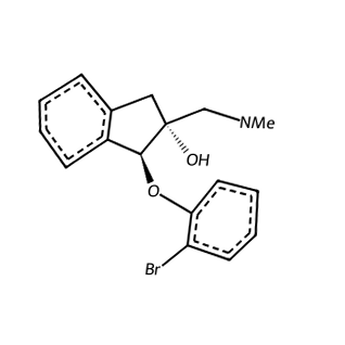 CNC[C@]1(O)Cc2ccccc2[C@@H]1Oc1ccccc1Br